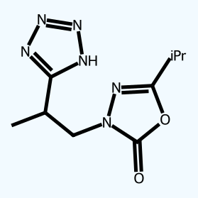 CC(C)c1nn(CC(C)c2nnn[nH]2)c(=O)o1